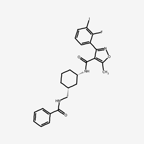 Cc1onc(-c2cccc(I)c2F)c1C(=O)N[C@H]1CCC[C@@H](CNC(=O)c2ccccc2)C1